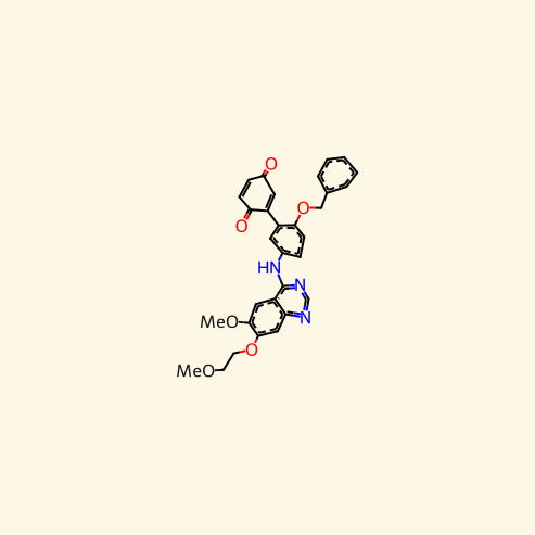 COCCOc1cc2ncnc(Nc3ccc(OCc4ccccc4)c(C4=CC(=O)C=CC4=O)c3)c2cc1OC